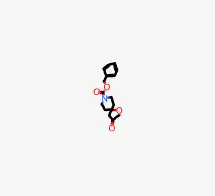 O=C1COC2(CCN(C(=O)OCc3ccccc3)CC2)C1